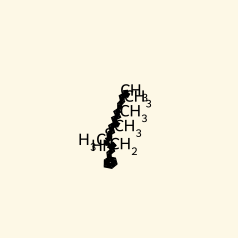 C=C(CCc1ccccc1)NC(C)CSC/C=C(\C)CC/C=C(\C)CCC=C(C)C